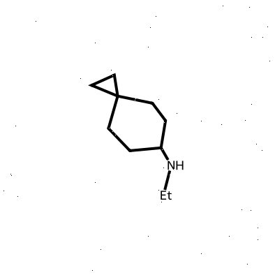 CCNC1CCC2(CC1)CC2